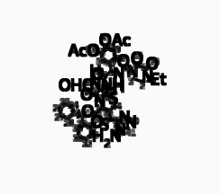 CCN1CCN(C(=O)NC(C(=O)N[C@]2(NC=O)C(=O)N3C(C(=O)OC(c4ccccc4)c4ccccc4)=C(C(=S)c4nncn4N)CS[C@H]32)c2ccc(OC(C)=O)c(OC(C)=O)c2)C(=O)C1=O